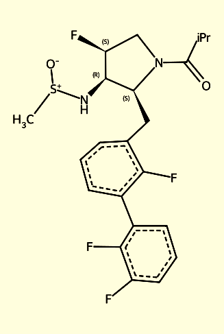 CC(C)C(=O)N1C[C@H](F)[C@H](N[S+](C)[O-])[C@@H]1Cc1cccc(-c2cccc(F)c2F)c1F